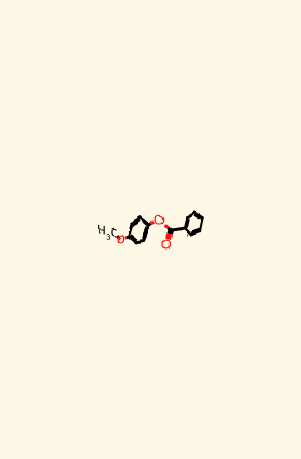 COc1ccc(OC(=O)c2[c]cccc2)cc1